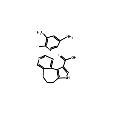 Cc1cc(N)cnc1Cl.O=C(O)c1c[nH]c2c1-c1ncncc1CCC2